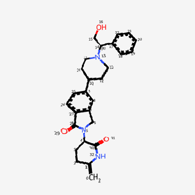 C=C1CCC(N2Cc3cc(C4CCN([C@@H](CO)c5ccccc5)CC4)ccc3C2=O)C(=O)N1